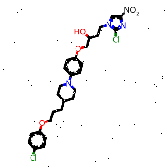 O=[N+]([O-])c1cn(CCC(O)COc2ccc(N3CCC(CCCOc4ccc(Cl)cc4)CC3)cc2)c(Cl)n1